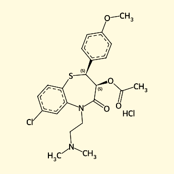 COc1ccc([C@@H]2Sc3ccc(Cl)cc3N(CCN(C)C)C(=O)[C@@H]2OC(C)=O)cc1.Cl